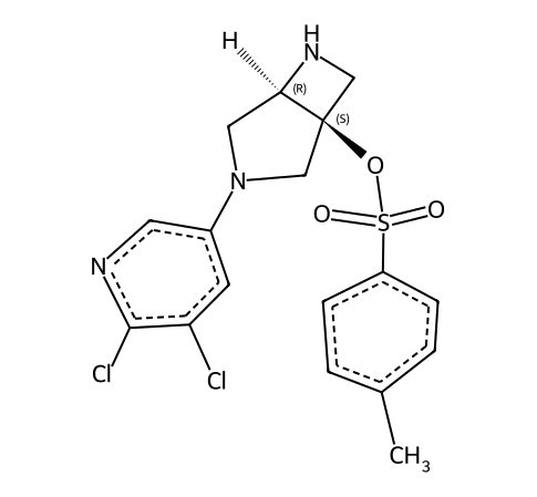 Cc1ccc(S(=O)(=O)O[C@]23CN[C@@H]2CN(c2cnc(Cl)c(Cl)c2)C3)cc1